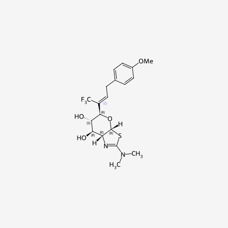 COc1ccc(C/C=C(/[C@H]2O[C@@H]3SC(N(C)C)=N[C@@H]3[C@@H](O)[C@@H]2O)C(F)(F)F)cc1